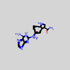 NC(=O)c1c[nH]c2ccc(Nc3nc4ncnc-4c(N)[nH]3)cc12